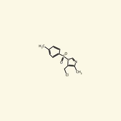 Cc1ccc(S(=O)(=O)n2cnc(C)c2CCl)cc1